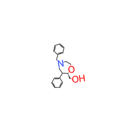 OC[C@@H]1OCCN(Cc2ccccc2)CC1c1ccccc1